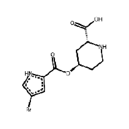 O=C(O[C@@H]1CCN[C@@H](C(=O)O)C1)c1cc(Br)c[nH]1